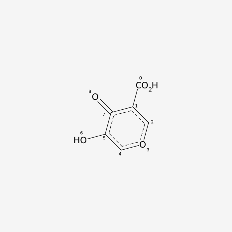 O=C(O)c1cocc(O)c1=O